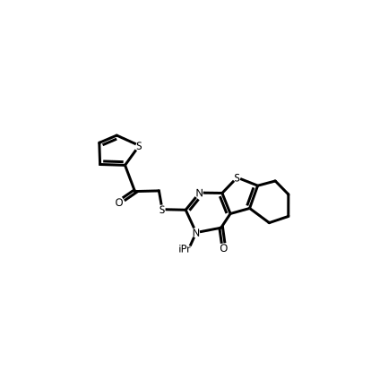 CC(C)n1c(SCC(=O)c2cccs2)nc2sc3c(c2c1=O)CCCC3